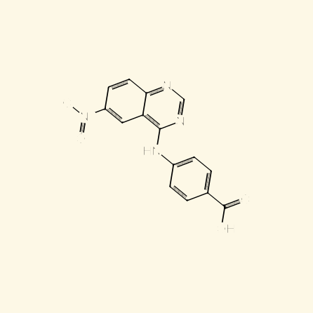 O=C(O)c1ccc(Nc2ncnc3ccc([N+](=O)[O-])cc23)cc1